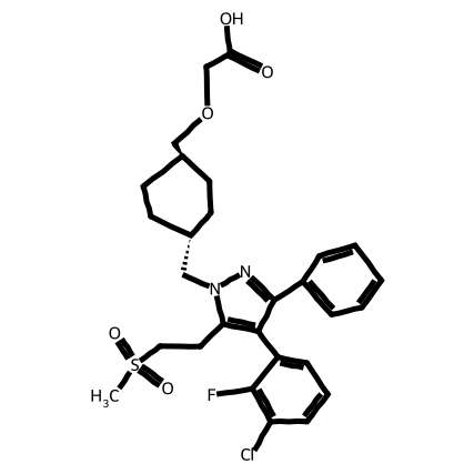 CS(=O)(=O)CCc1c(-c2cccc(Cl)c2F)c(-c2ccccc2)nn1C[C@H]1CC[C@H](COCC(=O)O)CC1